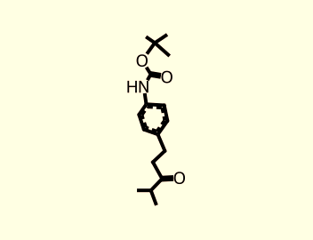 CC(C)C(=O)CCc1ccc(NC(=O)OC(C)(C)C)cc1